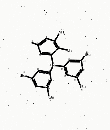 Cc1cc(N)c(Cl)c(N(c2cc(C(C)(C)C)cc(C(C)(C)C)c2)c2cc(C(C)(C)C)cc(C(C)(C)C)c2)c1